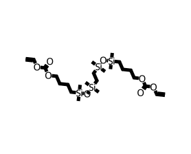 C=COC(=O)OCCCC[Si](C)(C)O[Si](C)(C)CC[Si](C)(C)O[Si](C)(C)CCCCOC(=O)OC=C